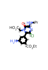 CCOC(=O)c1cc(N)cc(-c2c(Cl)nc(NC(C)C)c(=O)n2CC(=O)O)c1